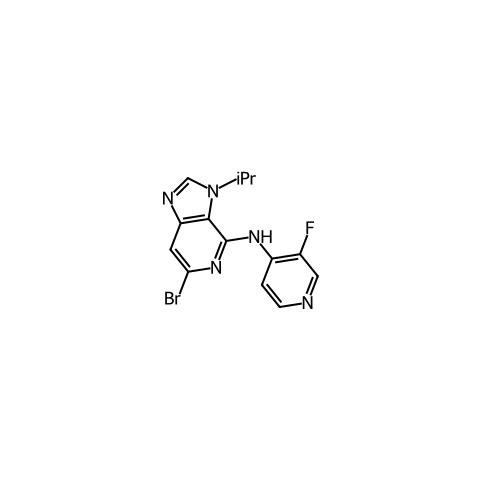 CC(C)n1cnc2cc(Br)nc(Nc3ccncc3F)c21